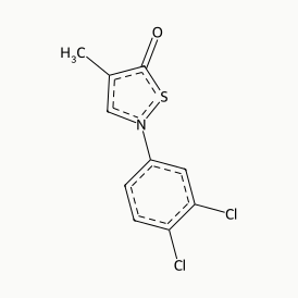 Cc1cn(-c2ccc(Cl)c(Cl)c2)sc1=O